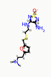 CN(C)CCc1ccc(CSCCNc2n[s+]([O-])nc2N)o1